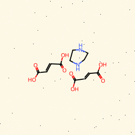 C1CNCCN1.O=C(O)C=CC(=O)O.O=C(O)C=CC(=O)O